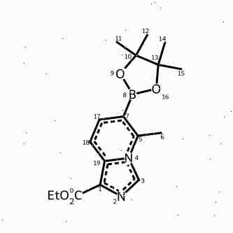 CCOC(=O)c1ncn2c(C)c(B3OC(C)(C)C(C)(C)O3)ccc12